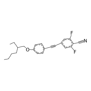 CCCCC(CC)COc1ccc(C#Cc2cc(F)c(C#N)c(F)c2)cc1